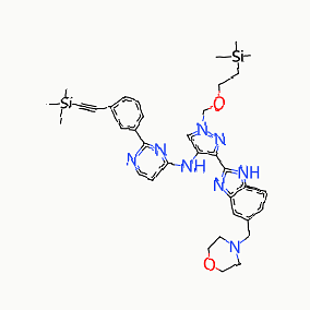 C[Si](C)(C)C#Cc1cccc(-c2nccc(Nc3cn(COCC[Si](C)(C)C)nc3-c3nc4cc(CN5CCOCC5)ccc4[nH]3)n2)c1